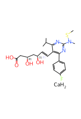 CSN(C)c1nc(-c2ccc(F)cc2)c(/C=C/[C@@H](O)C[C@@H](O)CC(=O)O)c(C(C)C)n1.[CaH2]